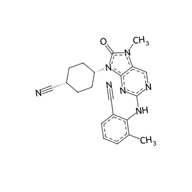 Cc1cccc(C#N)c1Nc1ncc2c(n1)n([C@H]1CC[C@@H](C#N)CC1)c(=O)n2C